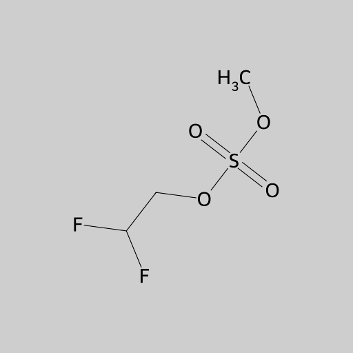 COS(=O)(=O)OCC(F)F